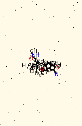 CCNC(=O)CC[C@@](C)(CCC(C)(C)CC)CCC(C)(C)[C@]1(C)CC[C@H]2C(C)(C)C(=O)C(C#N)=C[C@]2(C)/C1=C/C(C)=O